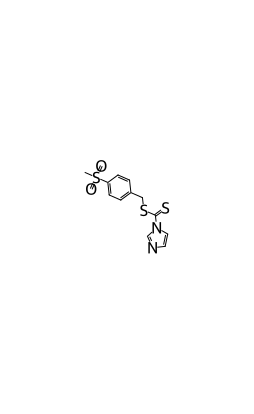 CS(=O)(=O)c1ccc(CSC(=S)n2ccnc2)cc1